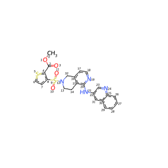 COC(=O)c1sccc1S(=O)(=O)N1CCc2c(ccnc2Nc2cnc3ccccc3c2)C1